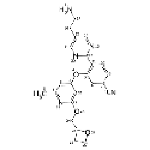 Cc1cc(Oc2cc(C#N)ccc2-c2ncc(CCN)cn2)cc(OCC2CCO2)n1